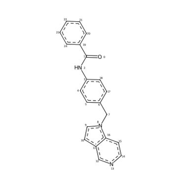 O=C(Nc1ccc(Cn2ccc3cnccc32)cc1)c1ccccc1